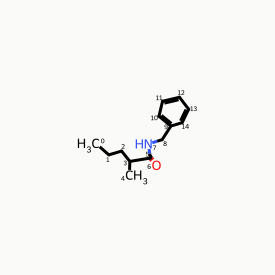 CCCC(C)C(=O)NCc1ccccc1